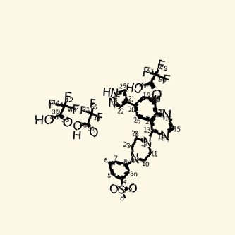 CS(=O)(=O)c1cccc(N2CCN(c3ncnc4ccc(-c5cn[nH]c5)cc34)CC2)c1.O=C(O)C(F)(F)F.O=C(O)C(F)(F)F.O=C(O)C(F)(F)F